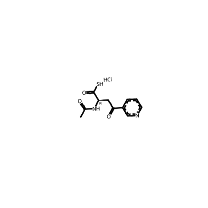 CC(=O)N[C@H](CC(=O)c1cccnc1)C(=O)S.Cl